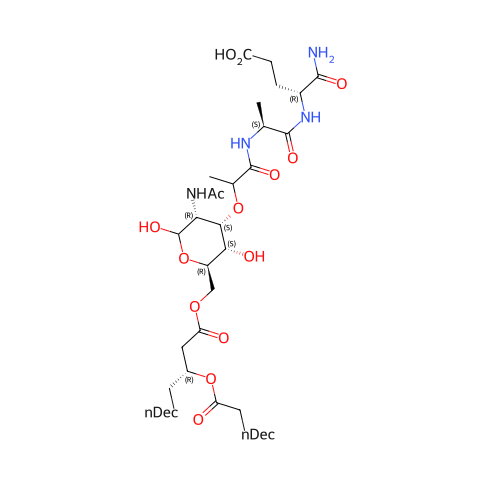 CCCCCCCCCCCC(=O)O[C@H](CCCCCCCCCCC)CC(=O)OC[C@H]1OC(O)[C@H](NC(C)=O)[C@H](OC(C)C(=O)N[C@@H](C)C(=O)N[C@H](CCC(=O)O)C(N)=O)[C@@H]1O